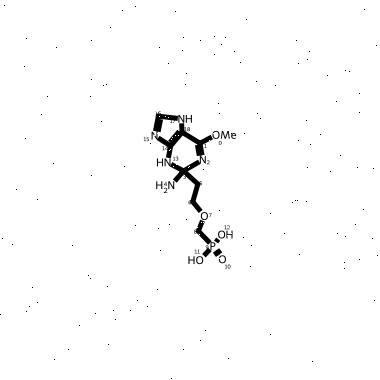 COC1=NC(N)(CCOCP(=O)(O)O)Nc2nc[nH]c21